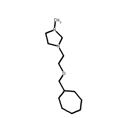 CN1CCN(CCOCC2CCCCCC2)C1